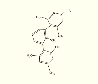 Cc1cc(C)c(-c2cccc(-c3c(C)cc(C)nc3C)[n+]2C)c(C)n1